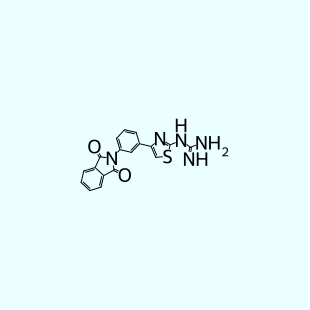 N=C(N)Nc1nc(-c2cccc(N3C(=O)c4ccccc4C3=O)c2)cs1